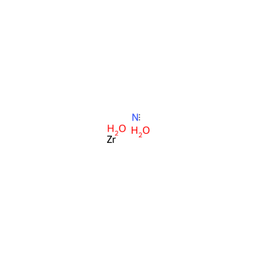 O.O.[N].[Zr]